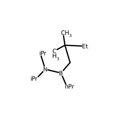 CCCB(CC(C)(C)CC)N(C(C)C)C(C)C